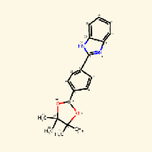 CC1(C)OB(c2ccc(-c3nc4ccccc4[nH]3)cc2)OC1(C)C